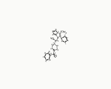 CC1=C(c2ccccc2)C(CC(O)C2CCN(C(=O)c3ccccc3)CC2)n2cncc21